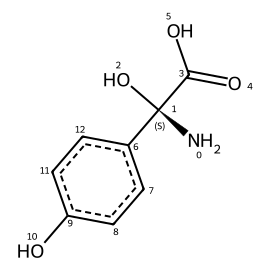 N[C@@](O)(C(=O)O)c1ccc(O)cc1